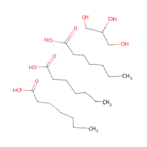 CCCCCCC(=O)O.CCCCCCC(=O)O.CCCCCCC(=O)O.OCC(O)CO